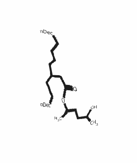 CCCCCCCCCCCCCCC(CCCCCCCCCCCC)CC(=O)OC(C)CCC(C)O